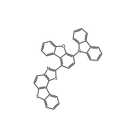 c1ccc2c(c1)oc1c(-n3c4ccccc4c4ccccc43)ccc(-c3nc4ccc5sc6ccccc6c5c4s3)c12